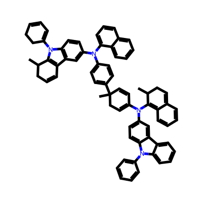 CC1CC=c2ccccc2=C1N(C1=CCC(C)(c2ccc(N(c3ccc4c(c3)c3c(n4C4=CC=CCC4)C(C)CC=C3)c3cccc4ccccc34)cc2)C=C1)c1ccc2c(c1)c1ccccc1n2-c1ccccc1